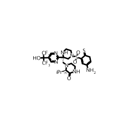 CC(C)[C@@H]1C(=O)NCCN1C[C@@]1(c2ncc(C(O)(C(F)(F)F)C(F)(F)F)cn2)CN(S(=O)(=O)C2=CC(N)=CCC2=S)CCN1